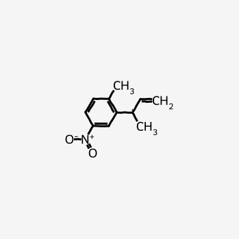 C=C[C](C)c1cc([N+](=O)[O-])ccc1C